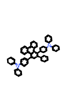 C1=CC(N(c2ccccc2)c2ccc(-c3cc(-c4ccccc4)c(-c4ccc(N(c5ccccc5)c5ccccc5)cc4)c4c5ccccc5c5ccccc5c34)cc2)=CCC1